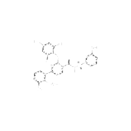 COc1c(C#N)cccc1-c1ccc(C(=O)NS(=O)(=O)c2cccc(N)n2)c(Oc2c(C)cc(C)cc2C)n1